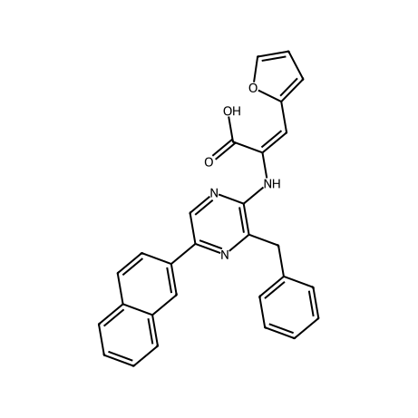 O=C(O)C(=Cc1ccco1)Nc1ncc(-c2ccc3ccccc3c2)nc1Cc1ccccc1